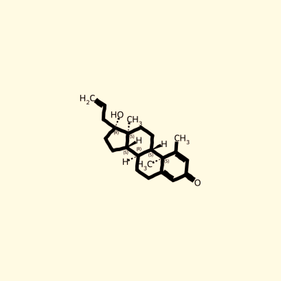 C=CC[C@]1(O)CC[C@H]2[C@@H]3CCC4=CC(=O)C=C(C)[C@]4(C)[C@H]3CC[C@@]21C